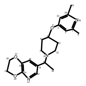 Cc1cc(OC2CCN(C(C)c3cnc4c(c3)OCCO4)CC2)cc(C)n1